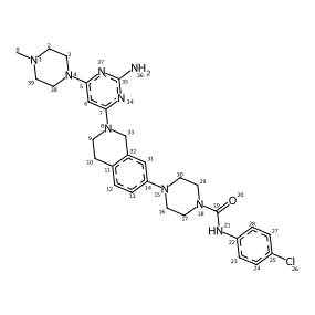 CN1CCN(c2cc(N3CCc4ccc(N5CCN(C(=O)Nc6ccc(Cl)cc6)CC5)cc4C3)nc(N)n2)CC1